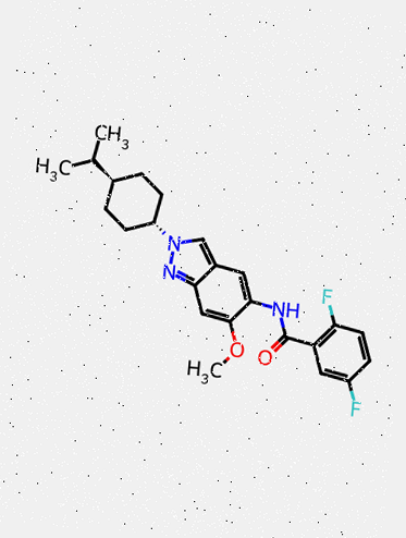 COc1cc2nn([C@H]3CC[C@H](C(C)C)CC3)cc2cc1NC(=O)c1cc(F)ccc1F